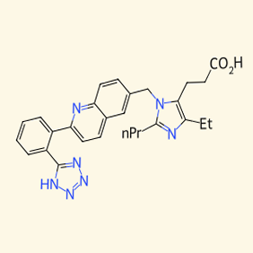 CCCc1nc(CC)c(CCC(=O)O)n1Cc1ccc2nc(-c3ccccc3-c3nnn[nH]3)ccc2c1